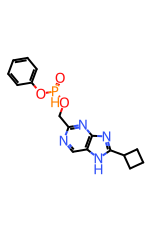 O=[PH](OCc1ncc2[nH]c(C3CCC3)nc2n1)Oc1ccccc1